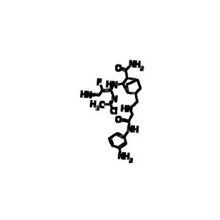 C/C(Cl)=N\C(NC1C2CC(CC2CNCC(=O)Nc2cccc(N)c2)C1C(N)=O)=C(\F)C=N